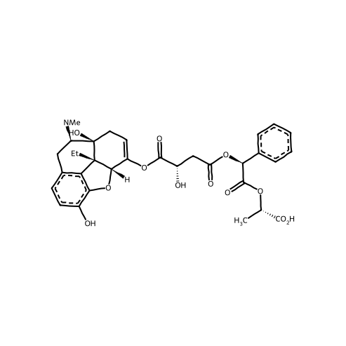 CC[C@]12c3c4ccc(O)c3O[C@H]1C(OC(=O)[C@@H](O)CC(=O)O[C@H](C(=O)O[C@@H](C)C(=O)O)c1ccccc1)=CC[C@@]2(O)[C@H](NC)C4